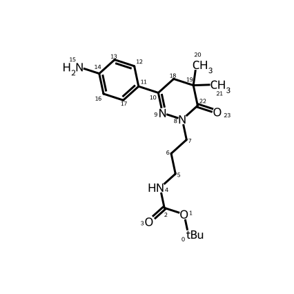 CC(C)(C)OC(=O)NCCCN1N=C(c2ccc(N)cc2)CC(C)(C)C1=O